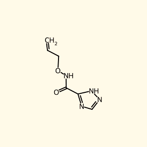 C=CCONC(=O)c1ncn[nH]1